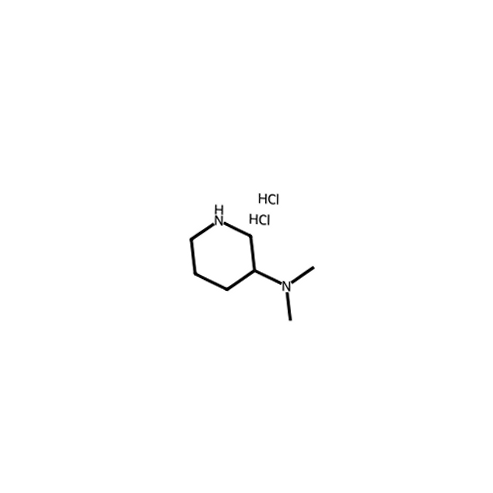 CN(C)C1CCCNC1.Cl.Cl